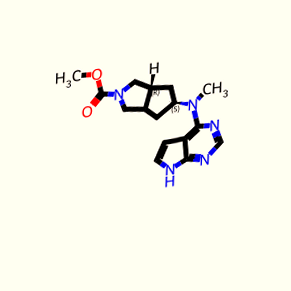 COC(=O)N1CC2C[C@H](N(C)c3ncnc4[nH]ccc34)C[C@H]2C1